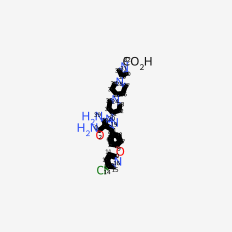 NC(=O)c1c(-c2ccc(Oc3ccc(Cl)cn3)cc2)nn(C2CCN(C3CCN(C4CN(C(=O)O)C4)CC3)CC2)c1N